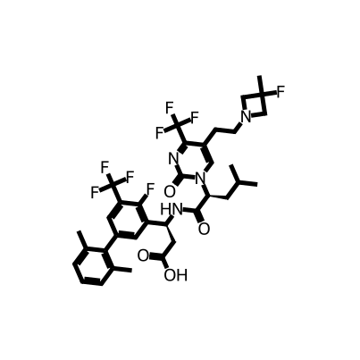 Cc1cccc(C)c1-c1cc([C@H](CC(=O)O)NC(=O)[C@H](CC(C)C)n2cc(CCN3CC(C)(F)C3)c(C(F)(F)F)nc2=O)c(F)c(C(F)(F)F)c1